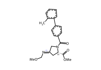 COC/N=C1\C[C@@H](C(=O)OC)N(C(=O)c2ccc(-c3ccccc3C)cc2)C1